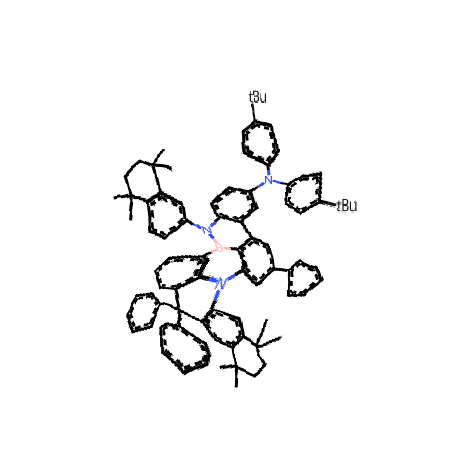 CC(C)(C)c1ccc(N(c2ccc(C(C)(C)C)cc2)c2ccc3c(c2)-c2cc(-c4ccccc4)cc4c2B(c2cccc5c2N4c2cc4c(cc2C5(c2ccccc2)c2ccccc2)C(C)(C)CCC4(C)C)N3c2ccc3c(c2)C(C)(C)CCC3(C)C)cc1